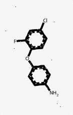 Nc1ccc(Oc2ccc(Cl)cc2F)cc1